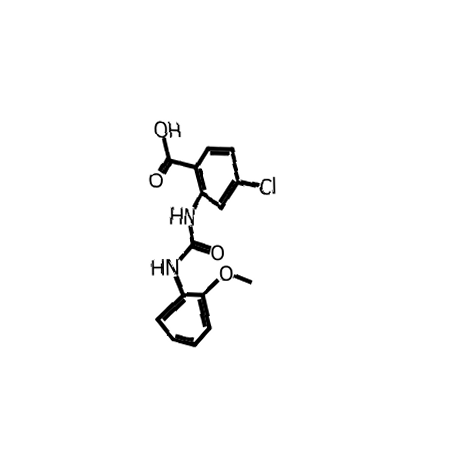 COc1ccccc1NC(=O)Nc1cc(Cl)ccc1C(=O)O